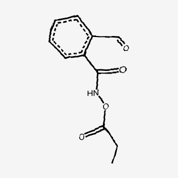 CCC(=O)ONC(=O)c1ccccc1C=O